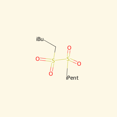 CCCC(C)S(=O)(=O)S(=O)(=O)CC(C)CC